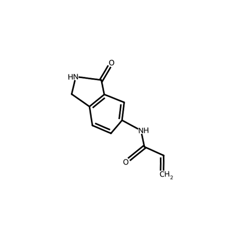 C=CC(=O)Nc1ccc2c(c1)C(=O)NC2